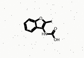 O=C(O)Nc1c(I)oc2ccccc12